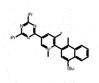 Cc1c(-c2c(F)cc(-c3nc(C(C)C)nc(C(C)C)n3)c[n+]2C)cc(C(C)(C)C)c2ccccc12